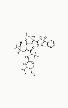 C=CC1C[C@]1(NC(=O)[C@@H]1[C@@H]2[C@H](CN1C(=O)C(NC(=O)N[C@H](C(=O)C1CC1)C(C)C)C(C)(C)C)C2(C)C)C(=O)NS(=O)(=O)c1ccccc1